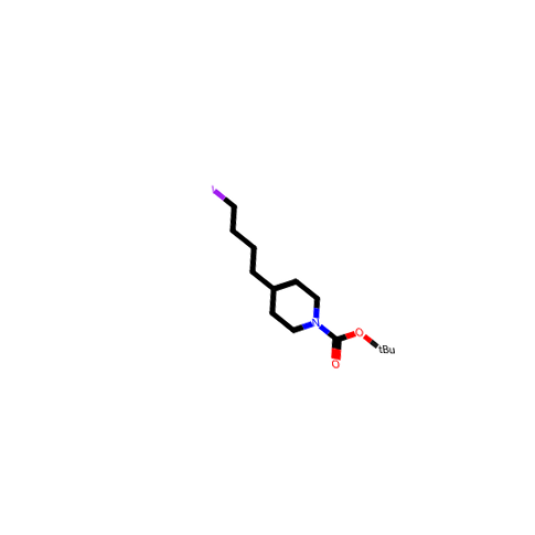 CC(C)(C)OC(=O)N1CCC(CCCCI)CC1